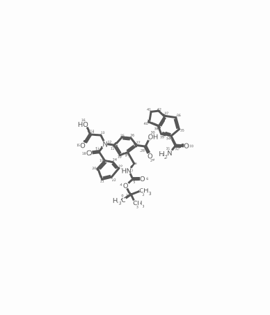 CC(C)(C)OC(=O)NCc1cc(N(CC(=O)O)C(=O)c2ccccc2)ccc1C(=O)O.NC(=O)c1ccc2c(c1)CCC2